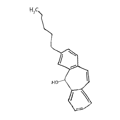 CCCCCc1ccc2c(c1)C(O)c1ccccc1C=C2